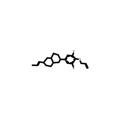 C=CCOc1c(F)cc(C2CCC3CC(/C=C/C)CCC3C2)cc1F